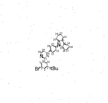 CC(C)(C)c1cc(Br)cc(-c2cc(-c3ccc(-n4c5ccccc5c5ccccc54)cc3)ccn2)c1